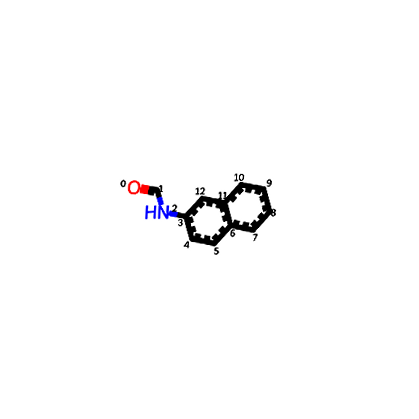 O=[C]Nc1ccc2ccccc2c1